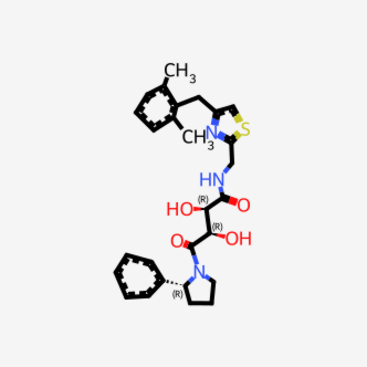 Cc1cccc(C)c1Cc1csc(CNC(=O)[C@H](O)[C@@H](O)C(=O)N2CCC[C@@H]2c2ccccc2)n1